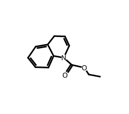 CCOC(=O)N1C=CCc2ccccc21